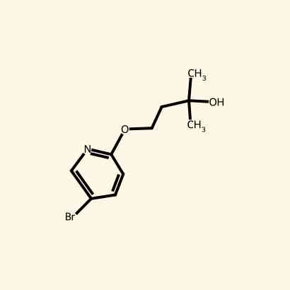 CC(C)(O)CCOc1ccc(Br)cn1